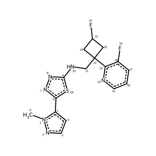 Cn1nccc1-c1nnc(NCC2(c3ncccc3F)CC(F)C2)s1